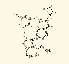 COc1ncnc2ccn(-c3cnc4nc(N5CCC5)n(Cc5cc(F)cc(F)c5)c4c3)c12